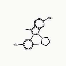 Cc1ccc(C(C)(C)C)cc1-c1n(C2CCCC2)c2cc(C(C)(C)C)ccc2[n+]1C